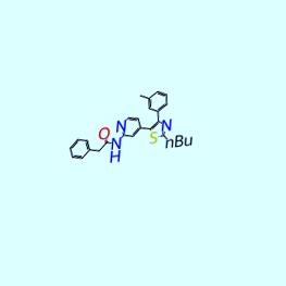 CCCCc1nc(-c2cccc(C)c2)c(-c2ccnc(NC(=O)Cc3ccccc3)c2)s1